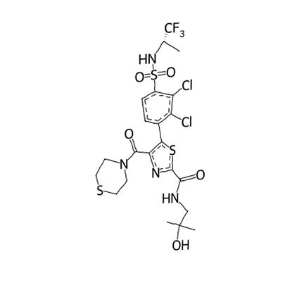 C[C@H](NS(=O)(=O)c1ccc(-c2sc(C(=O)NCC(C)(C)O)nc2C(=O)N2CCSCC2)c(Cl)c1Cl)C(F)(F)F